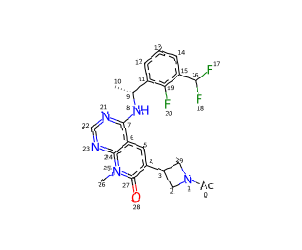 CC(=O)N1CC(c2cc3c(N[C@H](C)c4cccc(C(F)F)c4F)ncnc3n(C)c2=O)C1